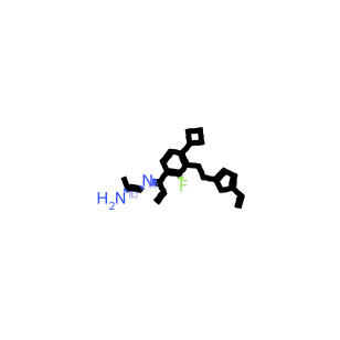 C=CC1=CC=C(CCc2c(C3CCC3)ccc(/C(C=C)=N/C=C(\C)N)c2F)C1